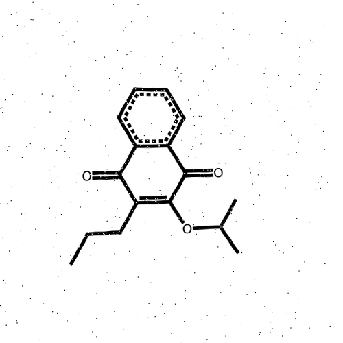 CCCC1=C(OC(C)C)C(=O)c2ccccc2C1=O